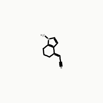 Cn1ccc2c1CCCC2=CC#N